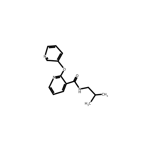 CC(C)CNC(=O)c1cccnc1Oc1cccnc1